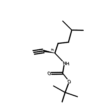 C#C[C@@H](CCC(C)C)NC(=O)OC(C)(C)C